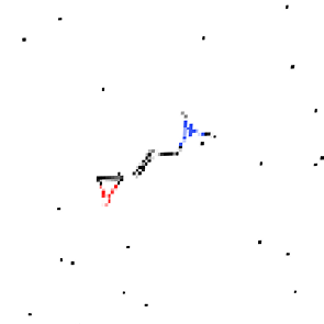 C1CO1.C=CCN(C)C